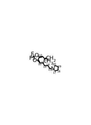 C=C/C=C1/OC(F)(F)O/C1=C/C(C)CCCN1CCCC1